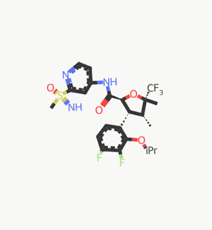 CC(C)Oc1c([C@@H]2[C@@H](C(=O)Nc3ccnc(S(C)(=N)=O)c3)O[C@](C)(C(F)(F)F)[C@@H]2C)ccc(F)c1F